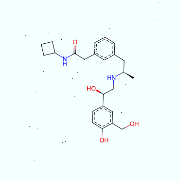 C[C@H](Cc1cccc(CC(=O)NC2CCC2)c1)NC[C@H](O)c1ccc(O)c(CO)c1